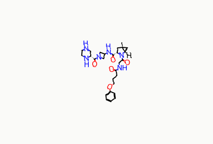 C[C@@]12C[C@@H]1N(C(=O)CNC(=O)CCCOc1ccccc1)[C@H](C(=O)NC1CN(C(=O)[C@H]3CNCCN3)C1)C2